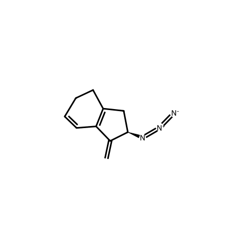 C=C1C2=C(CCC=C2)C[C@H]1N=[N+]=[N-]